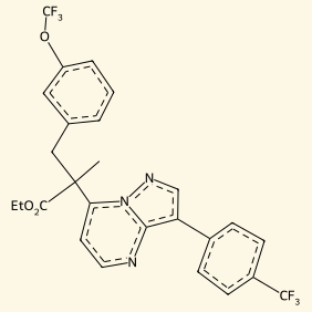 CCOC(=O)C(C)(Cc1cccc(OC(F)(F)F)c1)c1ccnc2c(-c3ccc(C(F)(F)F)cc3)cnn12